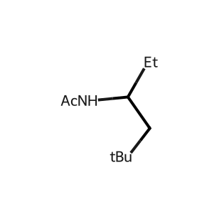 CCC(CC(C)(C)C)NC(C)=O